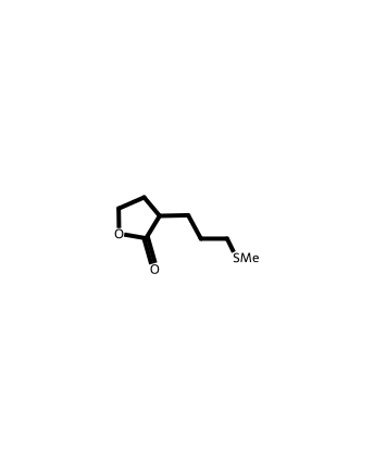 CSCCCC1CCOC1=O